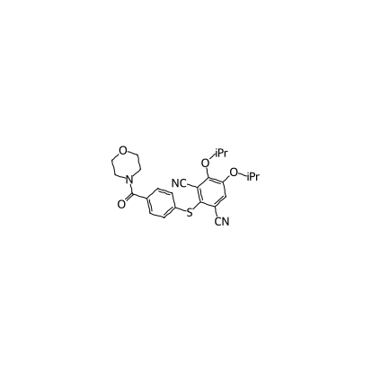 CC(C)Oc1cc(C#N)c(Sc2ccc(C(=O)N3CCOCC3)cc2)c(C#N)c1OC(C)C